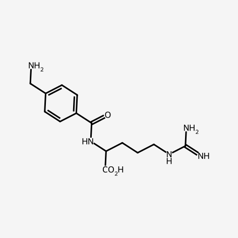 N=C(N)NCCCC(NC(=O)c1ccc(CN)cc1)C(=O)O